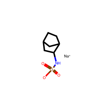 O=S(=O)([O-])NC1CC2CCC1C2.[Na+]